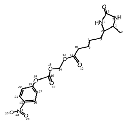 CC1NC(=O)NC1CCCCC(=O)OCOC(=O)Oc1ccc([N+](=O)[O-])cc1